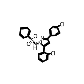 O=S(=O)(Nn1nc(-c2ccc(Cl)cc2)cc1-c1ccccc1Cl)c1ccccc1